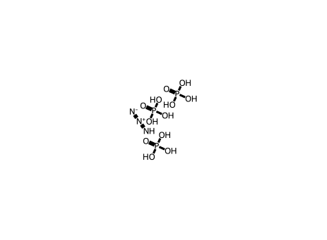 O=P(O)(O)O.O=P(O)(O)O.O=P(O)(O)O.[N-]=[N+]=N